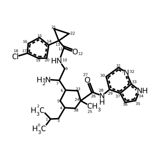 CC(C)CC1CC(C(N)CNC(=O)C2(c3ccc(Cl)cc3)CC2)CC(C)(C(=O)Nc2ccnc3[nH]ccc23)C1